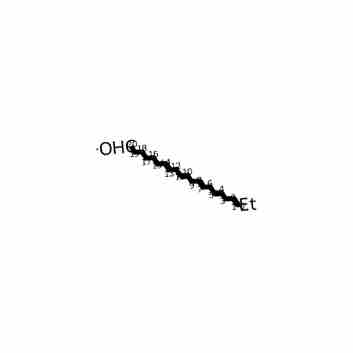 CCC=CCC=CCC=CCC=CCC=CCCCCC[C]=O